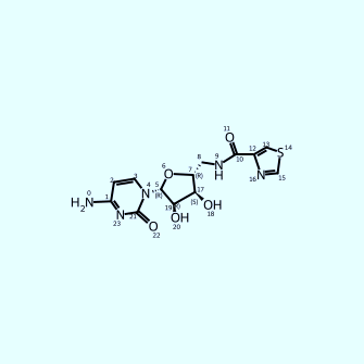 Nc1ccn([C@@H]2O[C@H](CNC(=O)c3cscn3)[C@@H](O)[C@H]2O)c(=O)n1